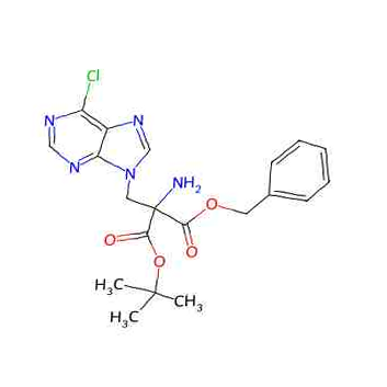 CC(C)(C)OC(=O)C(N)(Cn1cnc2c(Cl)ncnc21)C(=O)OCc1ccccc1